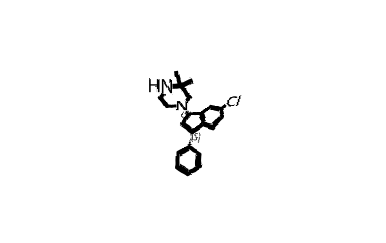 CC1(C)CN([C@H]2C[C@@H](c3ccccc3)c3ccc(Cl)cc32)CCN1